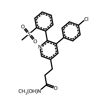 CN(O)C(=O)CCc1cnc(-c2ccccc2S(C)(=O)=O)c(-c2ccc(Cl)cc2)c1